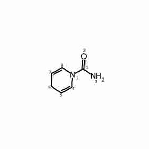 NC(=O)N1C=CCC=C1